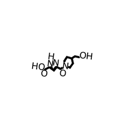 O=C(O)c1cc(C(=O)N2CCC(CCO)CC2)n[nH]1